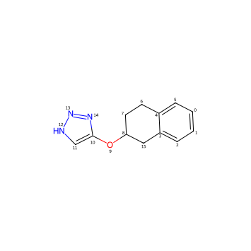 c1ccc2c(c1)CCC(Oc1c[nH]nn1)C2